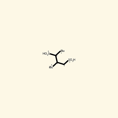 CCC(C)C(CS(=O)(=O)O)C(C(C)CC)S(=O)(=O)O